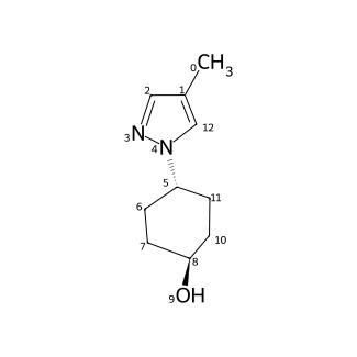 Cc1cnn([C@H]2CC[C@H](O)CC2)c1